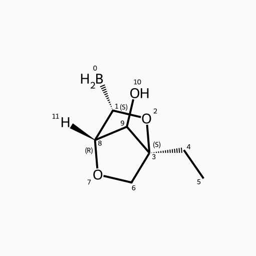 B[C@@H]1O[C@@]2(CC)CO[C@H]1C2O